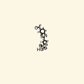 CC(=O)c1ccc2nc(-c3csc(S(=O)(=O)O)c3)sc2c1